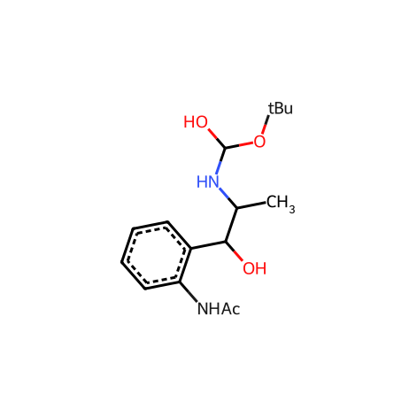 CC(=O)Nc1ccccc1C(O)C(C)NC(O)OC(C)(C)C